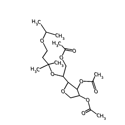 CC(=O)OCC(OC(C)(C)CCOC(C)C)C1OCC(OC(C)=O)C1OC(C)=O